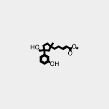 COC(=O)/C=C/CCC1(C)CCC(CO)(c2cccc(O)c2)C1